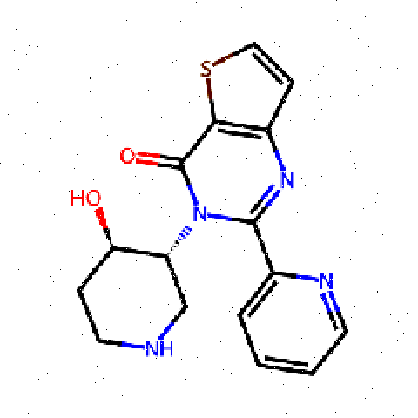 O=c1c2sccc2nc(-c2ccccn2)n1[C@@H]1CNCC[C@H]1O